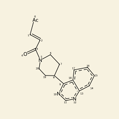 CC(=O)C=CC(=O)N1CCC(c2ncnc3ccccc23)CC1